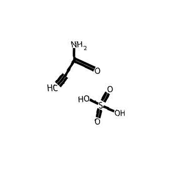 C#CC(N)=O.O=S(=O)(O)O